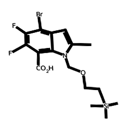 Cc1cc2c(Br)c(F)c(F)c(C(=O)O)c2n1COCC[Si](C)(C)C